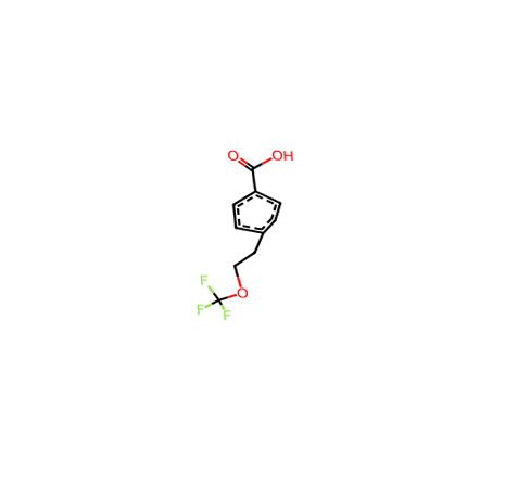 O=C(O)c1ccc(CCOC(F)(F)F)cc1